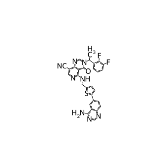 CC(c1cccc(F)c1F)n1cnc2c(C#N)cnc(NCc3ccc(-c4ccc5ncnc(N)c5c4)s3)c2c1=O